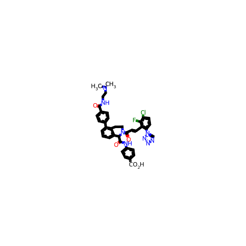 CN(C)CCNC(=O)c1ccc(-c2cccc3c2CCN(C(=O)/C=C/c2c(-n4cnnn4)ccc(Cl)c2F)C3C(=O)Nc2ccc(C(=O)O)cc2)cc1